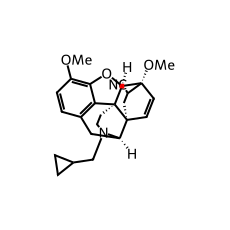 COc1ccc2c3c1O[C@@H]1[C@]34CCN(CC3CC3)[C@H](C2)[C@]42C=C[C@@]1(OC)C(C#N)C2